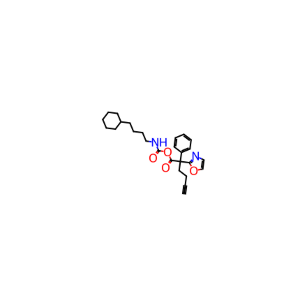 C#CCCC(C(=O)OC(=O)NCCCCC1CCCCC1)(c1ccccc1)c1ncco1